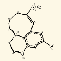 CCOC(=O)/C1=C/c2cc(Br)cc3c2N(CCC1)CCO3